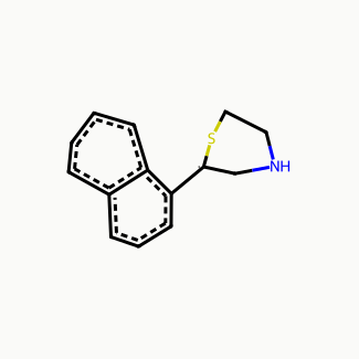 c1ccc2c([C]3CNCCS3)cccc2c1